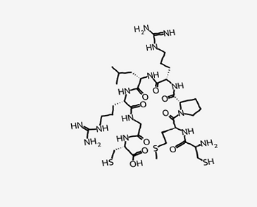 CSCC[C@H](NC(=O)[C@@H](N)CS)C(=O)N1CCC[C@H]1C(=O)N[C@@H](CCCNC(=N)N)C(=O)N[C@@H](CC(C)C)C(=O)N[C@@H](CCCNC(=N)N)C(=O)NCC(=O)N[C@@H](CS)C(=O)O